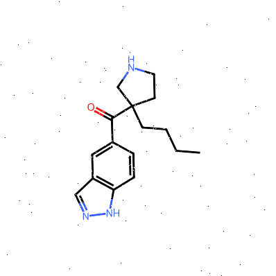 CCCCC1(C(=O)c2ccc3[nH]ncc3c2)CCNC1